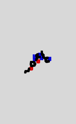 CCCCOC1CCC(NC(=O)c2ccn3c(C)cc(-c4cccnc4)nc23)CC1